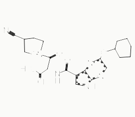 C=C(C)[C@@H](NC(=O)c1c[nH]c2ncc(OC3CCCCC3)nc12)C(=O)N1CCC(C#N)CC1